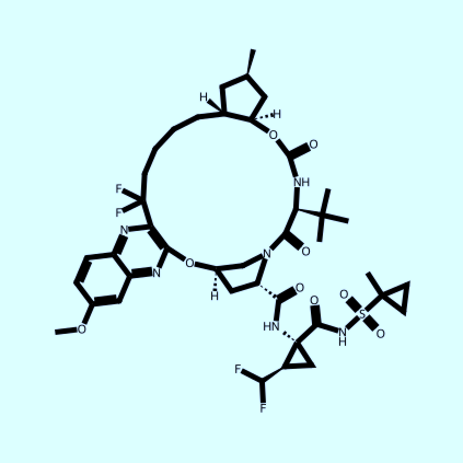 COc1ccc2nc3c(nc2c1)O[C@@H]1C[C@@H](C(=O)N[C@]2(C(=O)NS(=O)(=O)C4(C)CC4)C[C@H]2C(F)F)N(C1)C(=O)[C@H](C(C)(C)C)NC(=O)O[C@@H]1C[C@H](C)C[C@H]1CCCCC3(F)F